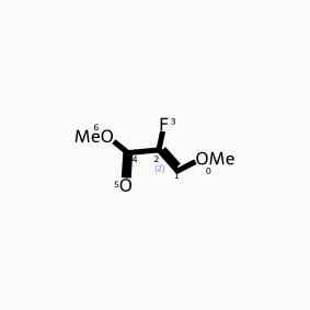 CO/C=C(\F)C(=O)OC